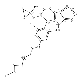 FCCCNCCOc1cc(F)c(C2c3[nH]c4ccccc4c3CCN2CC2(F)CC2)c(F)c1